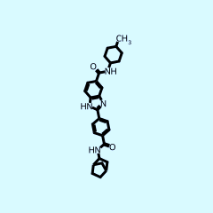 CC1CCC(NC(=O)c2ccc3[nH]c(-c4ccc(C(=O)NC5CC6CCC5C6)cc4)nc3c2)CC1